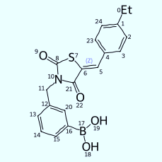 CCc1ccc(/C=C2\SC(=O)N(Cc3cccc(B(O)O)c3)C2=O)cc1